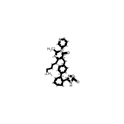 CCCCCc1nc(C)n(-c2cccnc2)c(=O)c1Cc1ccc(-c2ccccc2-c2noc(=O)[nH]2)cc1